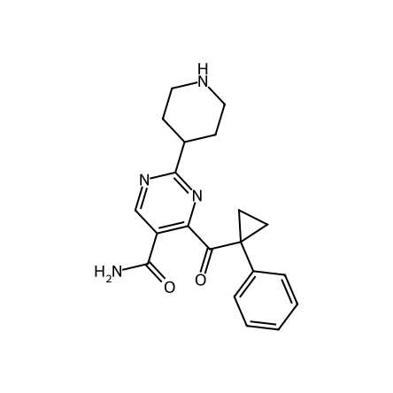 NC(=O)c1cnc(C2CCNCC2)nc1C(=O)C1(c2ccccc2)CC1